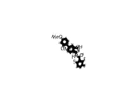 COc1ccc(-c2ccc3c(NC(=O)c4c(F)ccc(F)c4F)n[nH]c3c2)c(OC)c1